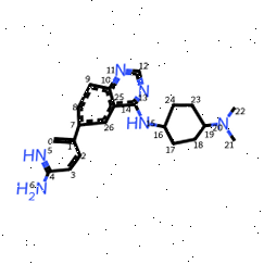 C=C(/C=C\C(=N)N)c1ccc2ncnc(NC3CCC(N(C)C)CC3)c2c1